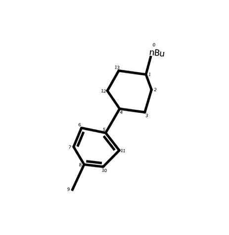 CCCCC1CCC(c2ccc(C)cc2)CC1